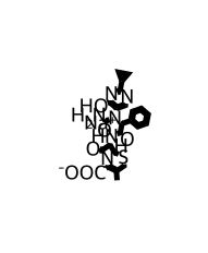 CC1=C(C(=O)[O-])N2C(=O)C(NC(=O)C(c3ccccc3)N(C(N)=O)c3cnc(C4CC4)nc3O)[C@@H]2SC1.[Na+]